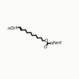 CCCCCCCCC=CCCCCCCCCOC(=O)CCCCC